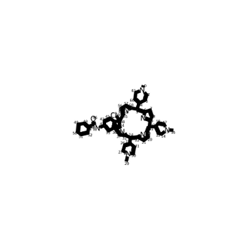 CN1C=CC(C2=C3C=CC(=N3)C(C3=CCN(C)C=C3)=c3ccc([nH]3)=C(C3=CCN(C)C=C3)C3=NC(Cl)(C=C3)C(Cl)(c3ccc(NC(=O)c4ccccc4)cc3)c3ccc2[nH]3)=CC1